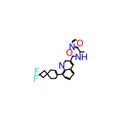 CC(NC(=O)c1cnc2c(C3=CCC4(CC3)CC(F)(F)C4)cccc2c1)c1ncco1